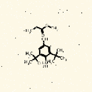 CC(C)(C)c1cc(O)cc(C(C)(C)C)c1O.CCC(=O)OC